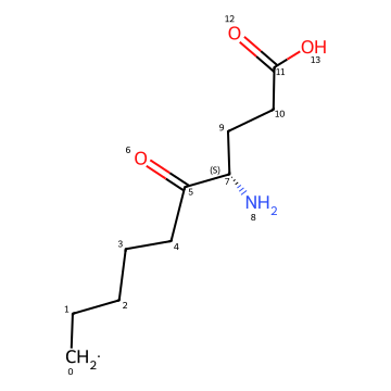 [CH2]CCCCC(=O)[C@@H](N)CCC(=O)O